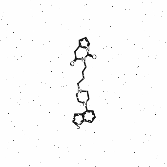 O=C1Cc2cccn2C(=O)N1CCCCN1CCN(c2cccc3sccc23)CC1